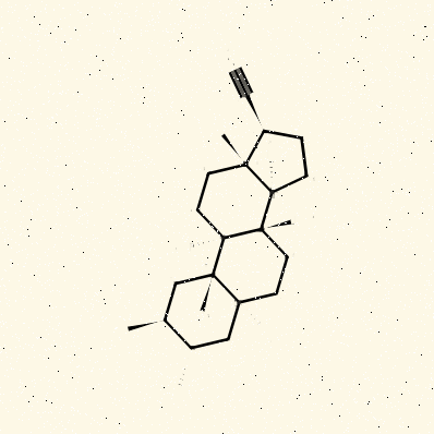 C[C@H]1C[C@@H]2CC[C@@H]3[C@H](CC[C@]4(C)[C@@H](C#N)CC[C@@H]34)[C@@]2(C)C[C@@H]1C